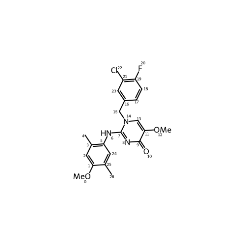 COc1cc(C)c(Nc2nc(=O)c(OC)cn2Cc2ccc(F)c(Cl)c2)cc1C